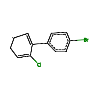 ClC1=CC[CH]C=C1c1ccc(Br)cc1